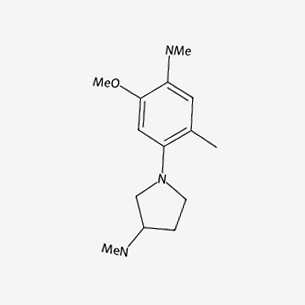 CNc1cc(C)c(N2CCC(NC)C2)cc1OC